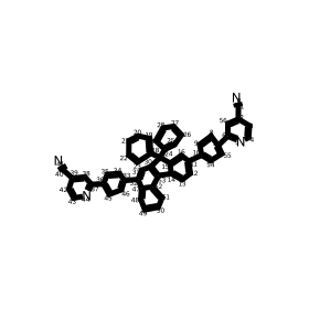 N#Cc1ccnc(-c2ccc(-c3ccc4c(c3)C(c3ccccc3)(c3ccccc3)c3cc(-c5ccc(-c6cc(C#N)ccn6)cc5)c5ccccc5c3-4)cc2)c1